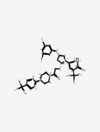 O=C(CC[C@@H]1C[C@H](Oc2cc(F)cc(F)c2)CN1c1cc(C(F)(F)F)c(=O)[nH]n1)N1CCN(c2ncc(C(F)(F)F)cn2)CC1